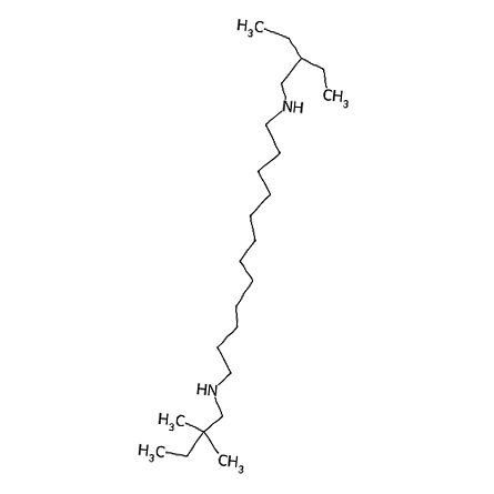 CCC(CC)CNCCCCCCCCCCCCNCC(C)(C)CC